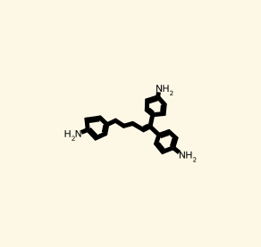 Nc1ccc(CCCC=C(c2ccc(N)cc2)c2ccc(N)cc2)cc1